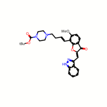 COc1ccc2c(c1C=CCCN1CCN(C(=O)OC(C)(C)C)CC1)OC(=Cc1n[nH]c3ccccc13)C2=O